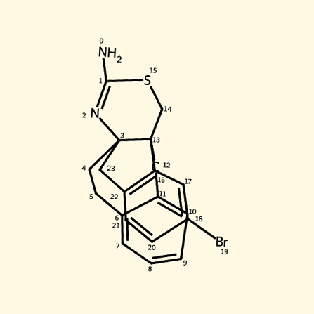 NC1=NC23CCc4ccccc4CC2(CS1)c1cc(Br)ccc1C3